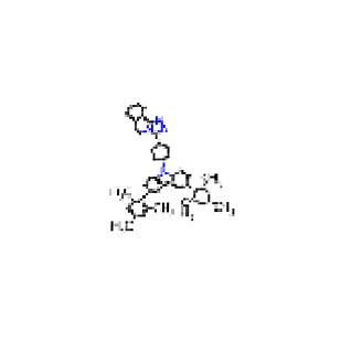 Cc1cc(C)c(-c2ccc3c(c2)c2cc(-c4c(C)cc(C)cc4C)ccc2n3-c2ccc(-c3nnc4c5ccccc5ccn34)cc2)c(C)c1